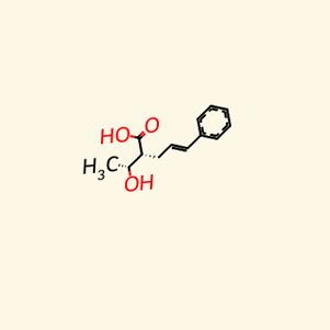 C[C@@H](O)[C@@H](CC=Cc1ccccc1)C(=O)O